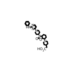 O=C(O)CC1CCN(C2CCCC3C2OC(=O)N3C2CCN(c3ccnc(Nc4ccccc4)n3)CC2)CC1